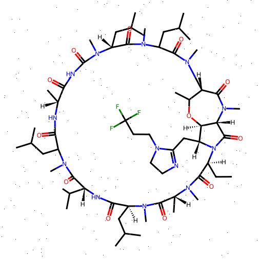 CC[C@H]1C(=O)N(C)[C@H](C)C(=O)N(C)[C@@H](CC(C)C)C(=O)N[C@H](C(C)C)C(=O)N(C)C(CC(C)C)C(=O)N[C@H](C)C(=O)NC(=O)N(C)[C@H](CC(C)C)C(=O)N(C)C(CC(C)C)C(=O)N(C)[C@@H]2C(=O)N(C)[C@@H]3C(=O)N1[C@H](CC1=NCCN1CCC(F)(F)F)[C@H]3OC2C